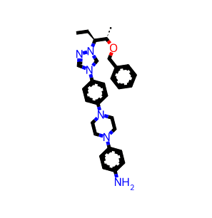 CC[C@@H]([C@H](C)OCc1ccccc1)N1CN(c2ccc(N3CCN(c4ccc(N)cc4)CC3)cc2)C=N1